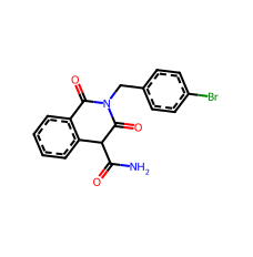 NC(=O)C1C(=O)N(Cc2ccc(Br)cc2)C(=O)c2ccccc21